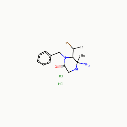 CCCCC1(N)NCC(=O)N(Cc2ccccc2)C1C(S)CC.Cl.Cl